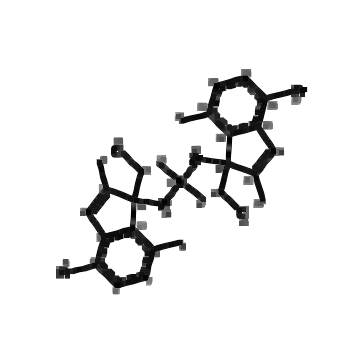 CC1=Cc2c(C(C)C)ccc(C)c2[C]1(CCl)[Zr][Si](C)(C)[Zr][C]1(CCl)C(C)=Cc2c(C(C)C)ccc(C)c21